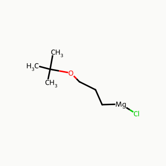 CC(C)(C)OCC[CH2][Mg][Cl]